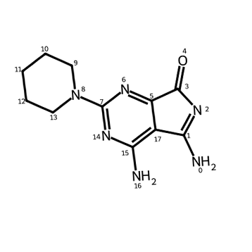 NC1=NC(=O)c2nc(N3CCCCC3)nc(N)c21